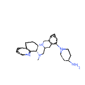 CN(CC1Cc2c(cccc2N2CCC(N)CC2)CN1)[C@H]1CCCc2cccnc21